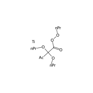 CCCOOC(=O)C(OCCC)(OCCC)C(C)=O.[Ti]